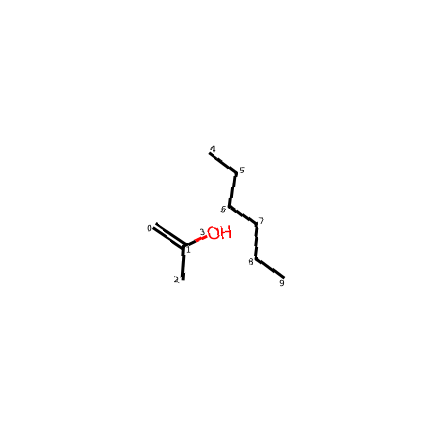 C=C(C)O.CCCCCC